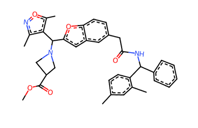 COC(=O)C1CN(C(c2cc3cc(CC(=O)NC(c4ccccc4)c4ccc(C)cc4C)ccc3o2)c2c(C)noc2C)C1